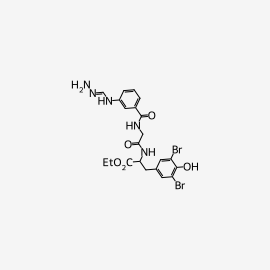 CCOC(=O)C(Cc1cc(Br)c(O)c(Br)c1)NC(=O)CNC(=O)c1cccc(NC=NN)c1